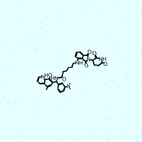 Cc1cc(C(NC(=O)CCCCCNc2cccc3c2C(=O)N(C2CCC(=O)NC2=O)C3=O)c2cccc(N(C)C)c2)c(O)c2ncccc12